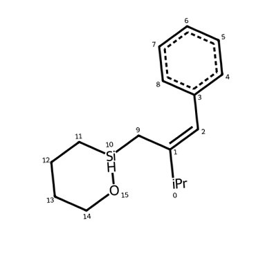 CC(C)C(=Cc1ccccc1)C[SiH]1CCCCO1